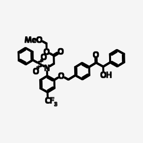 COCOC(=O)CN(c1ccc(C(F)(F)F)cc1OCc1ccc(C(=O)C(O)c2ccccc2)cc1)S(=O)(=O)c1ccccc1